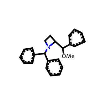 COC(c1ccccc1)C1CCN1C(c1ccccc1)c1ccccc1